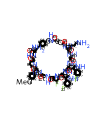 CCC1NC(=O)[C@@H]2C[C@H](F)CN2C(=O)[C@H](Cc2c[nH]c3ccc(F)cc23)NC(=O)[C@H](Cc2c[nH]c3ccc(F)cc23)NC(=O)[C@@H](C)NC(=O)[C@H](CCCCN)NC(=O)CCC(=O)NCc2ccc(cc2)C[C@@H](C(N)=O)NC(=O)[C@]2(C)CCCN2C(=O)[C@H](Cc2ccc(OC)cc2)NC1=O